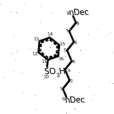 CCCCCCCCCCCCCCCCCCCCCCCCCCCC.O=S(=O)(O)c1ccccc1